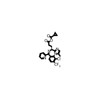 Cc1cnc2n1-c1c(ccc(C(F)(F)F)c1Cl)C(c1ccccn1)=N[C@H]2CCC(=O)OC(=O)C1CC1